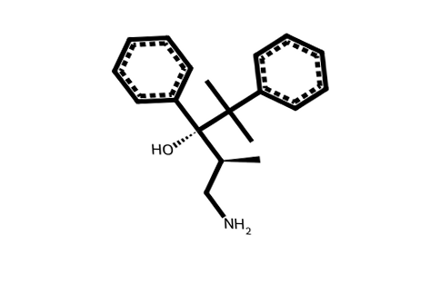 C[C@@H](CN)[C@@](O)(c1ccccc1)C(C)(C)c1ccccc1